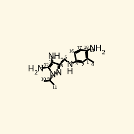 Cc1cc(NCc2nn(C(C)C)c(N)c2N)ccc1N